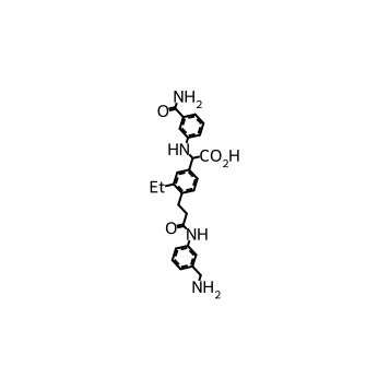 CCc1cc(C(Nc2cccc(C(N)=O)c2)C(=O)O)ccc1CCC(=O)Nc1cccc(CN)c1